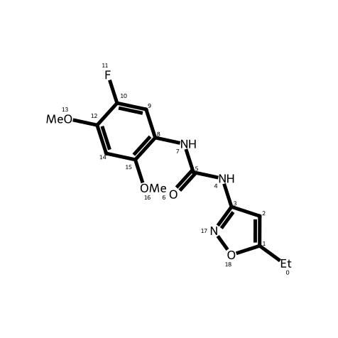 CCc1cc(NC(=O)Nc2cc(F)c(OC)cc2OC)no1